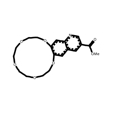 COC(=O)c1cnc2cc3c(cc2c1)OCCOCCOCCOCCO3